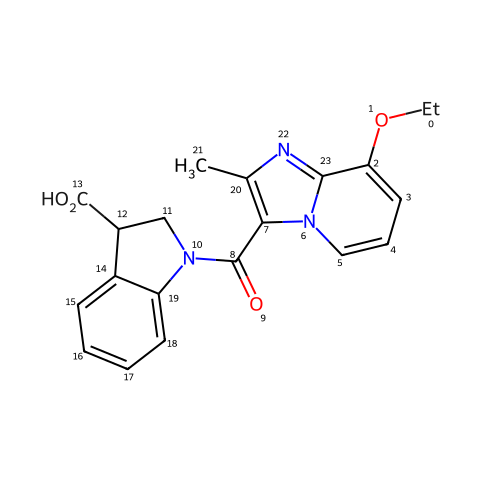 CCOc1cccn2c(C(=O)N3CC(C(=O)O)c4ccccc43)c(C)nc12